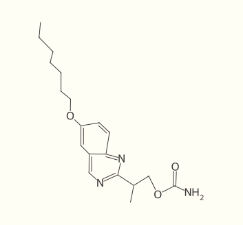 CCCCCCCOc1ccc2nc(C(C)COC(N)=O)ncc2c1